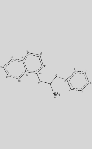 CNC(Cc1ccccc1)Cc1cccc2ccccc12